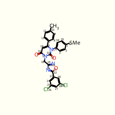 CSc1ccc(-n2c(-c3ccc(C)cc3)cc(=O)n(Cc3noc(-c4cc(Cl)cc(Cl)c4)n3)c2=O)cc1